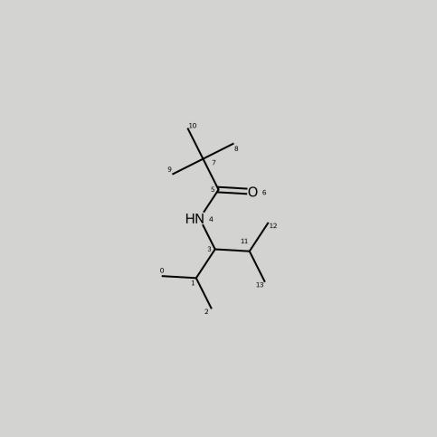 CC(C)C(NC(=O)C(C)(C)C)C(C)C